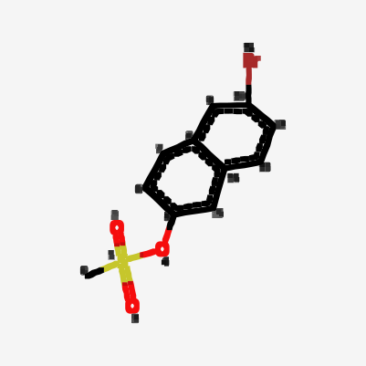 CS(=O)(=O)Oc1ccc2cc(Br)ccc2c1